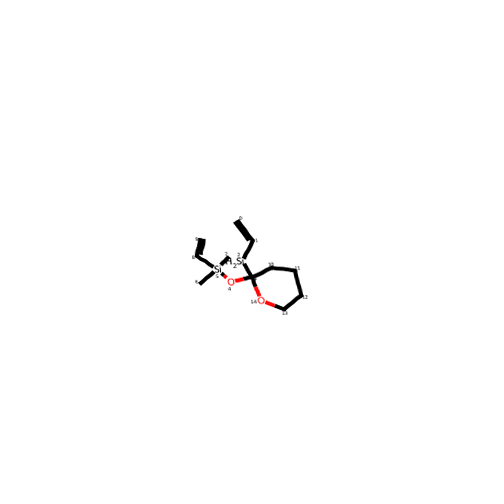 C=C[SiH2]C1(O[Si](C)(C)C=C)CCCCO1